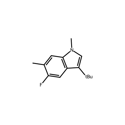 Cc1cc2c(cc1F)c(C(C)(C)C)cn2C